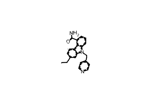 CCc1c[c]c2c3c(C(N)=O)cccc3n(Cc3ccncc3)c2c1